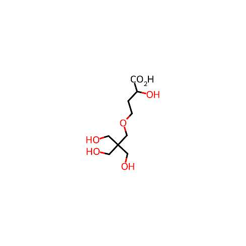 O=C(O)C(O)CCOCC(CO)(CO)CO